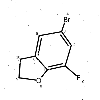 Fc1cc(Br)cc2c1OCC2